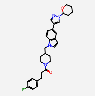 O=C(CCc1ccc(F)cc1)N1CCC(Cn2ccc3cc(-c4cnn(C5CCCCO5)c4)ccc32)CC1